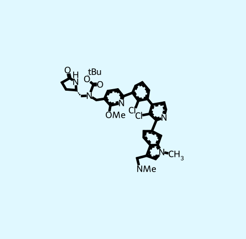 CNCc1cn(C)c2cc(-c3nccc(-c4cccc(-c5ccc(CN(C[C@@H]6CCC(=O)N6)C(=O)OC(C)(C)C)c(OC)n5)c4Cl)c3Cl)ccc12